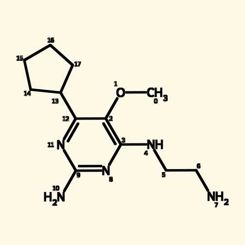 COc1c(NCCN)nc(N)nc1C1CCCC1